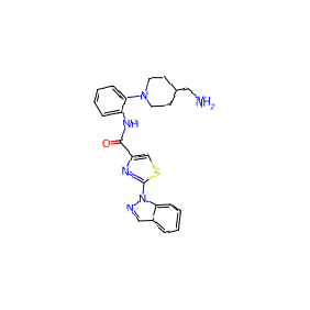 NCC1CCN(c2ccccc2NC(=O)c2csc(-n3ncc4ccccc43)n2)CC1